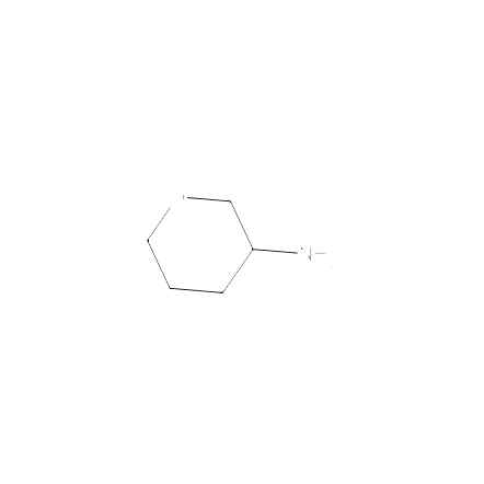 NC1[CH]CCOC1